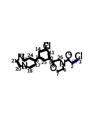 O=C(/C=C\Cl)N1CCO[C@H](c2cc(Cl)cc(-c3ccn4ccnc4c3)c2)C1